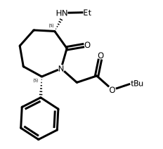 CCN[C@H]1CCC[C@@H](c2ccccc2)N(CC(=O)OC(C)(C)C)C1=O